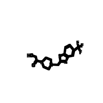 O=C(CO)N1CCN(Cc2nc3cc(C(F)(F)F)ccc3s2)CC1